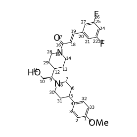 COc1ccc(C2CCN([C@@H](CO)C3CCN(C(=O)C=Cc4cc(F)cc(F)c4)CC3)CC2)cc1